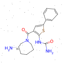 NC(=O)Nc1sc(-c2ccccc2)cc1C(=O)N1CCCC[C@H](N)C1